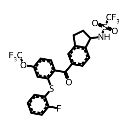 O=C(c1ccc2c(c1)CCC2NS(=O)(=O)C(F)(F)F)c1ccc(OC(F)(F)F)cc1Sc1ccccc1F